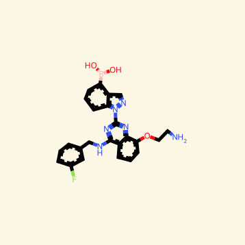 NCCOc1cccc2c(NCc3cccc(F)c3)nc(-n3ncc4c(B(O)O)cccc43)nc12